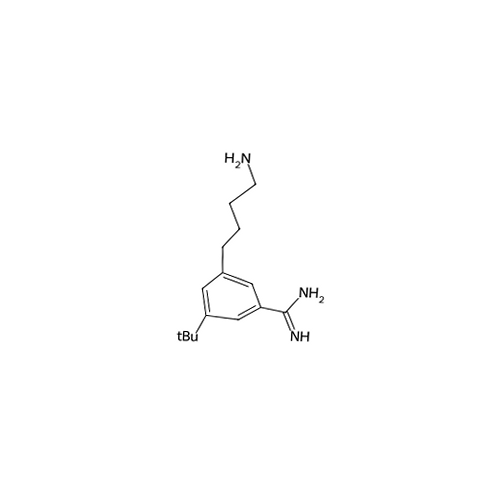 CC(C)(C)c1cc(CCCCN)cc(C(=N)N)c1